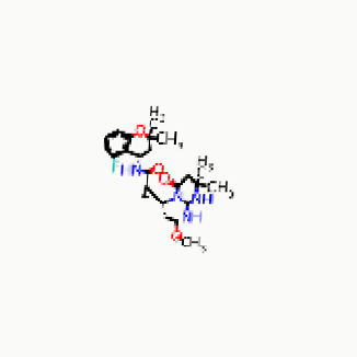 COCC[C@H]([C@@H]1C[C@H]1C(=O)N[C@H]1CC(C)(C)Oc2cccc(F)c21)N1C(=N)NC(C)(C)CC1=O